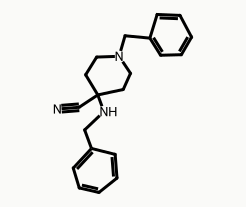 N#CC1(NCc2ccccc2)CCN(Cc2ccccc2)CC1